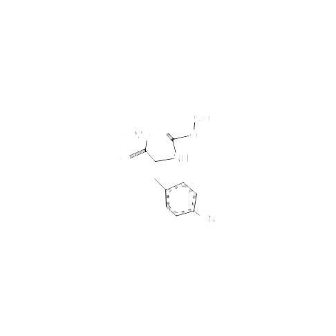 COC(=O)[C@@H](Cc1ccc(C#N)cc1)NC(=O)OC(C)(C)C